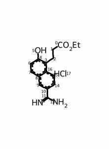 CCOC(=O)CCc1c(O)ccc2cc(C(=N)N)ccc12.Cl